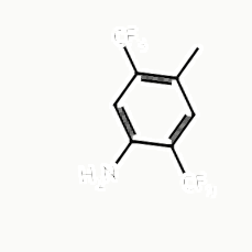 Cc1cc(C(F)(F)F)c(N)cc1C(F)(F)F